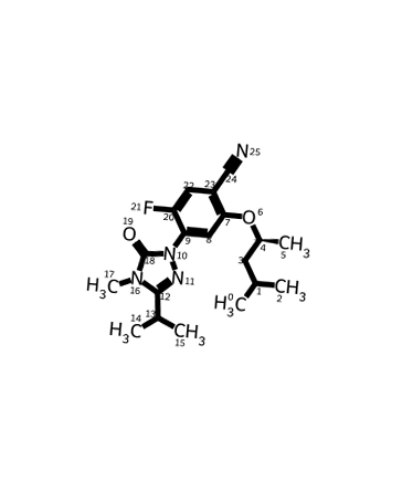 CC(C)C[C@H](C)Oc1cc(-n2nc(C(C)C)n(C)c2=O)c(F)cc1C#N